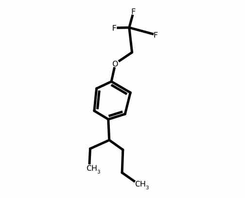 CCCC(CC)c1ccc(OCC(F)(F)F)cc1